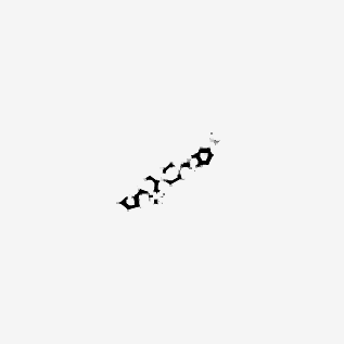 CCC(c1nnnn1Cc1cccs1)N1CCN(c2nc3ccc([N+](=O)[O-])cc3s2)CC1